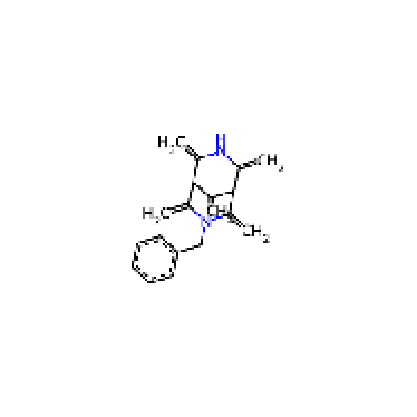 C=C1NC(=C)C2C(=C)C1C(=C)N(Cc1ccccc1)C2=C